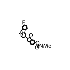 CNC(=O)Oc1ccc2c(c1)C(=O)C(C1CC[N+](C)(Cc3cccc(F)c3)CC1)C2